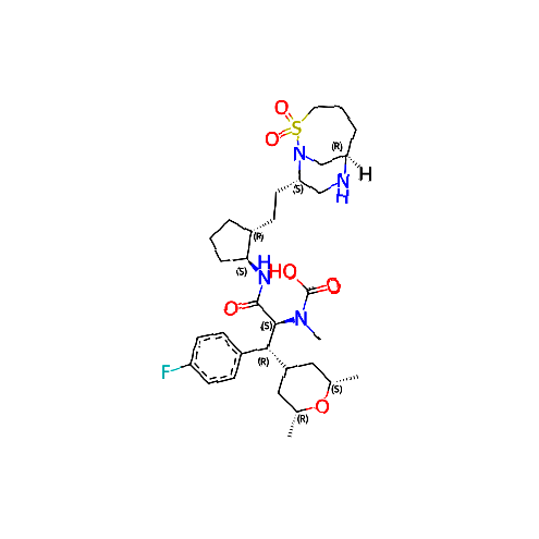 C[C@@H]1CC([C@H](c2ccc(F)cc2)[C@@H](C(=O)N[C@H]2CCC[C@@H]2CC[C@H]2CN[C@@H]3CCCS(=O)(=O)N2C3)N(C)C(=O)O)C[C@H](C)O1